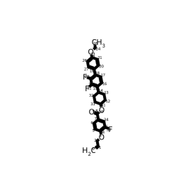 C=CCOc1ccc(C(=O)OC2CCC(c3ccc(-c4ccc(OCC)cc4)c(F)c3F)CC2)cc1F